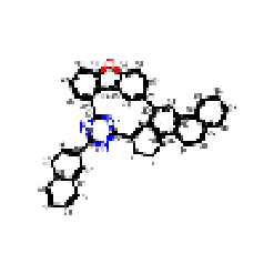 C1=CCCC(c2nc(C3=CCC4C=CC=CC4=C3)nc(-c3cccc4oc5ccc(-c6ccc7ccc8ccccc8c7c6)cc5c34)n2)=C1